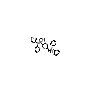 CN(C1CCC(N(C)P(c2ccccc2)c2ccccc2)CC1)P(c1ccccc1)c1ccccc1